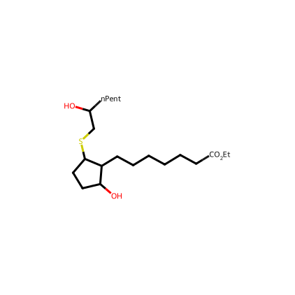 CCCCCC(O)CSC1CCC(O)C1CCCCCCC(=O)OCC